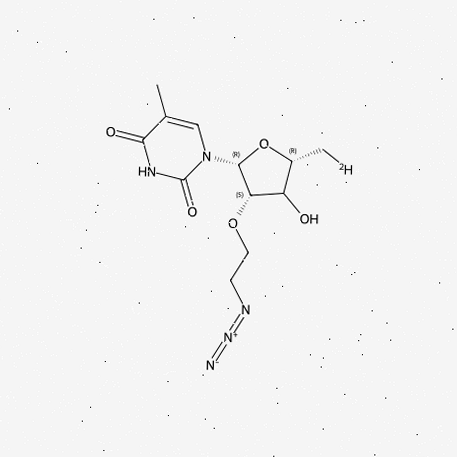 [2H]C[C@H]1O[C@@H](n2cc(C)c(=O)[nH]c2=O)[C@@H](OCCN=[N+]=[N-])C1O